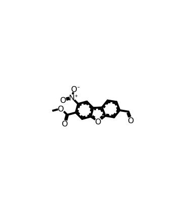 COC(=O)c1cc2oc3cc(C=O)ccc3c2cc1[N+](=O)[O-]